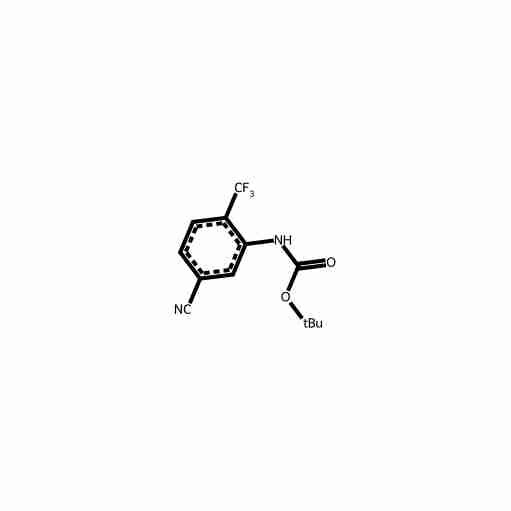 CC(C)(C)OC(=O)Nc1cc(C#N)ccc1C(F)(F)F